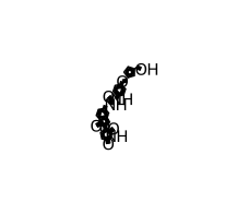 O=C1CCC(N2Cc3cc(CNC(=O)Nc4ccc(OC[C@@H]5CC[C@@H](CO)C5)cc4)ccc3C2=O)C(=O)N1